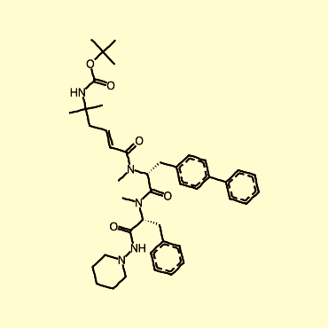 CN(C(=O)C=CCC(C)(C)NC(=O)OC(C)(C)C)[C@H](Cc1ccc(-c2ccccc2)cc1)C(=O)N(C)[C@H](Cc1ccccc1)C(=O)NN1CCCCC1